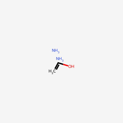 C=CO.N.N